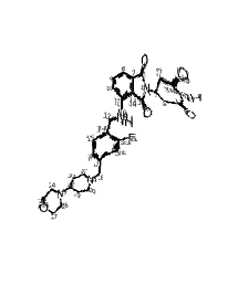 O=C1CC(N2C(=O)c3cccc(NCc4ccc(CN5CCC(N6CCOCC6)CC5)cc4F)c3C2=O)CC(=O)N1